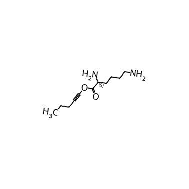 CCCC#COC(=O)[C@@H](N)CCCCN